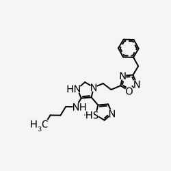 CCCCNC1=C(C2=CN=C[SH]2)N(CCc2nc(Cc3ccccc3)no2)CN1